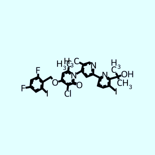 Cc1cnc(-c2ccc(I)c(C(C)(C)O)n2)cc1-n1c(C)cc(OCc2c(F)cc(F)cc2I)c(Cl)c1=O